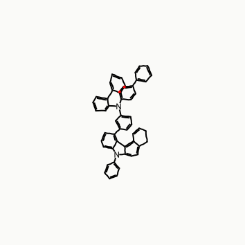 C1=Cc2c(ccc3c2c2c(-c4cccc(N(c5ccc(-c6ccccc6)cc5)c5ccccc5-c5ccccc5)c4)cccc2n3-c2ccccc2)CC1